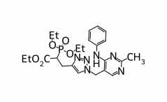 CCOC(=O)C(Cc1cn(Cc2cnc(C)nc2Nc2ccccc2)nn1)P(=O)(OCC)OCC